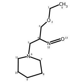 CCOCC(CN1CCCCC1)N=O